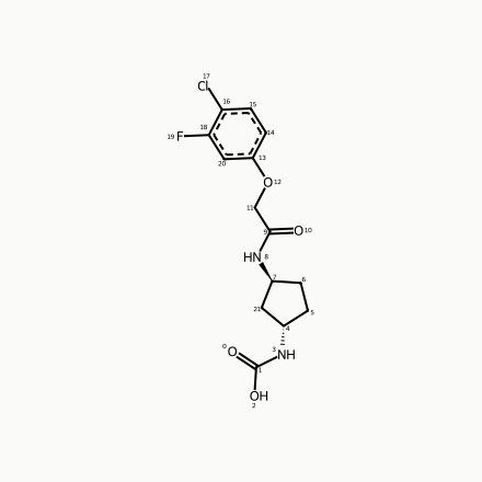 O=C(O)N[C@H]1CC[C@H](NC(=O)COc2ccc(Cl)c(F)c2)C1